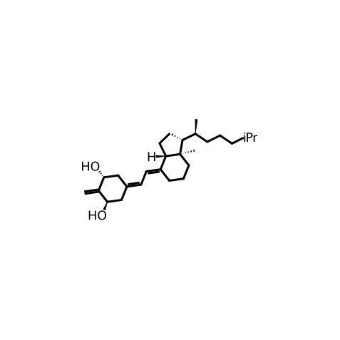 C=C1[C@H](O)CC(=C/C=C2\CCC[C@]3(C)[C@@H]([C@@H](C)CCCC(C)C)CC[C@@H]23)C[C@H]1O